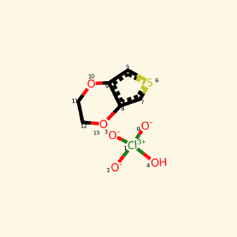 [O-][Cl+3]([O-])([O-])O.c1scc2c1OCCO2